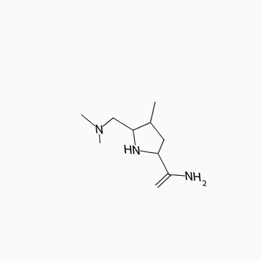 C=C(N)C1CC(C)C(CN(C)C)N1